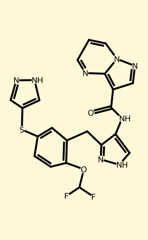 O=C(Nc1c[nH]nc1Cc1cc(Sc2cn[nH]c2)ccc1OC(F)F)c1cnn2cccnc12